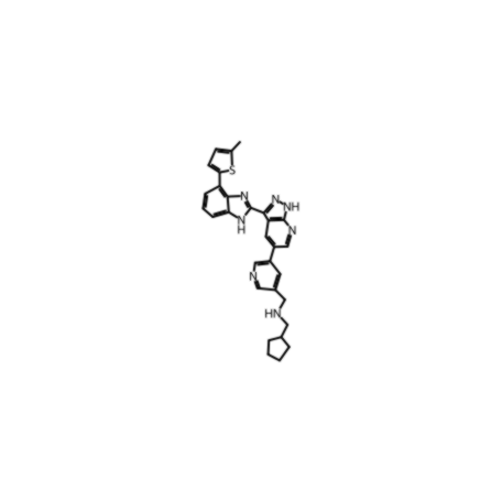 Cc1ccc(-c2cccc3[nH]c(-c4n[nH]c5ncc(-c6cncc(CNCC7CCCC7)c6)cc45)nc23)s1